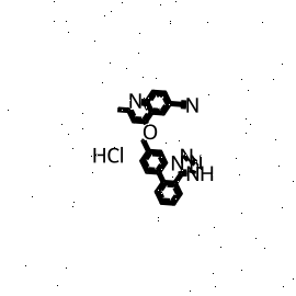 Cc1cc(OCc2ccc(-c3ccccc3-c3nnn[nH]3)cc2)c2cc(C#N)ccc2n1.Cl